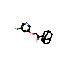 O=C(COc1cncc(Cl)c1)C12CC3CC(CC(C3)C1)C2